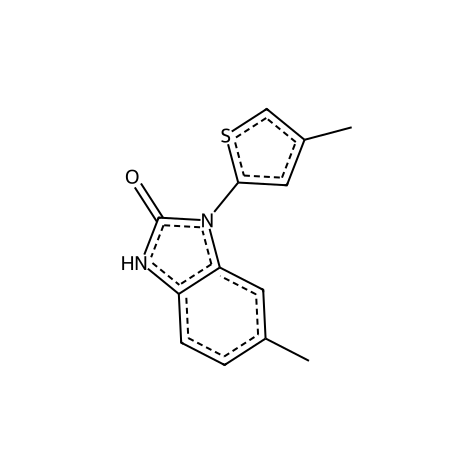 Cc1csc(-n2c(=O)[nH]c3ccc(C)cc32)c1